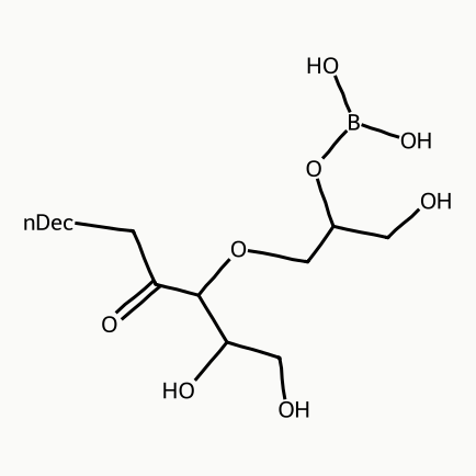 CCCCCCCCCCCC(=O)C(OCC(CO)OB(O)O)C(O)CO